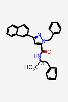 O=C(N[C@@H](Cc1ccccc1)C(=O)O)c1cc(-c2ccc3ccccc3c2)nn1Cc1ccccc1